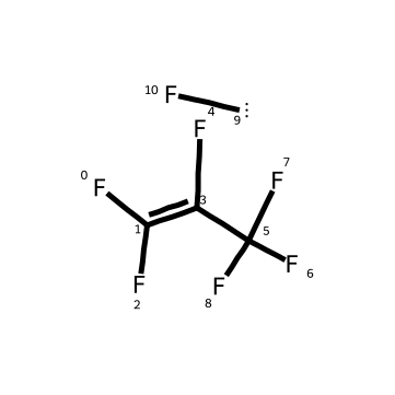 FC(F)=C(F)C(F)(F)F.[C]F